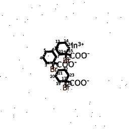 O=C([O-])C1(Br)CCCCC1.O=C([O-])C1(Br)CCCCC1.O=C([O-])C1(Br)CCCCC1.[In+3]